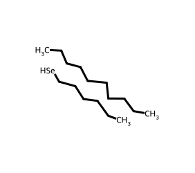 CCCCCCCCCC.CCCCCC[SeH]